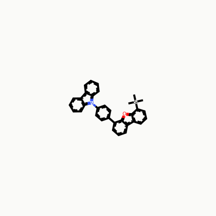 C[Si](C)(C)c1cccc2c1oc1c(-c3ccc(-n4c5ccccc5c5ccccc54)cc3)cccc12